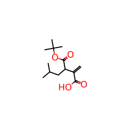 C=C(C(=O)O)C(CC(C)C)C(=O)OC(C)(C)C